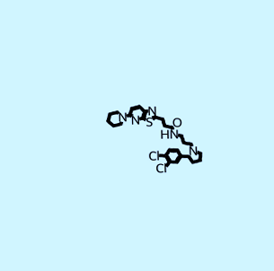 O=C(CCc1nc2ccc(N3CCCCC3)nc2s1)NCCCN1CCCC1c1ccc(Cl)c(Cl)c1